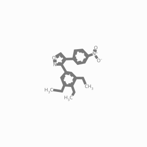 CCc1cc(-c2nocc2-c2ccc([N+](=O)[O-])cc2)cc(CC)c1CC